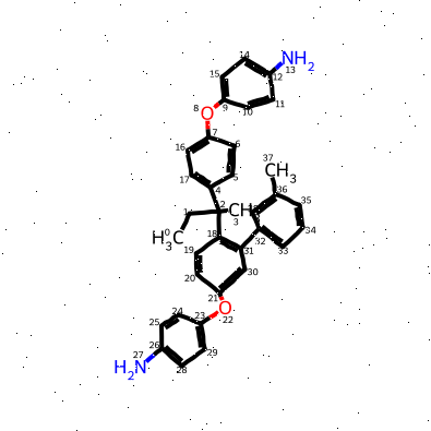 CCC(C)(c1ccc(Oc2ccc(N)cc2)cc1)c1ccc(Oc2ccc(N)cc2)cc1-c1cccc(C)c1